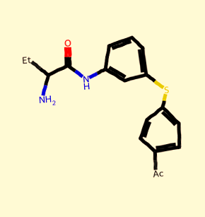 CCC(N)C(=O)Nc1cccc(Sc2ccc(C(C)=O)cc2)c1